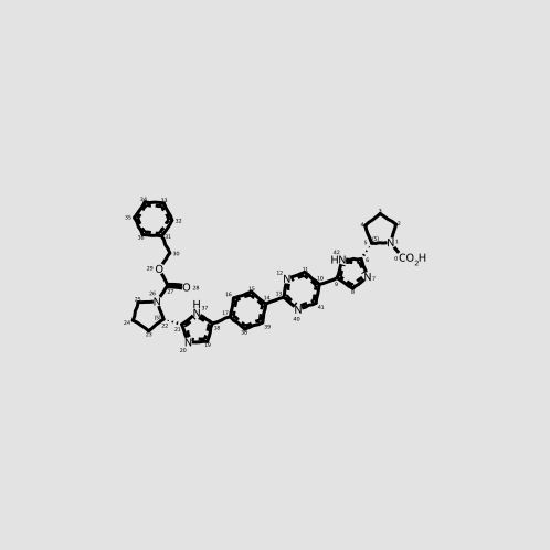 O=C(O)N1CCC[C@H]1c1ncc(-c2cnc(-c3ccc(-c4cnc([C@@H]5CCCN5C(=O)OCc5ccccc5)[nH]4)cc3)nc2)[nH]1